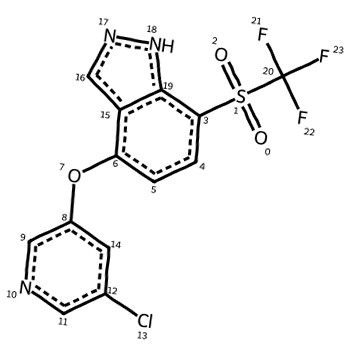 O=S(=O)(c1ccc(Oc2cncc(Cl)c2)c2cn[nH]c12)C(F)(F)F